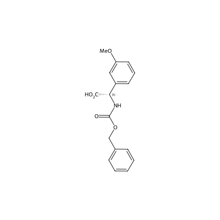 COc1cccc([C@H](NC(=O)OCc2ccccc2)C(=O)O)c1